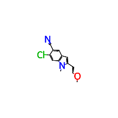 COC=Cc1cc2cc(C#N)c(Cl)cc2n1C